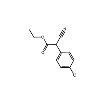 CCOC(=O)C(C#N)c1ccc(Cl)cc1